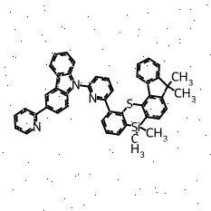 CC1(C)c2ccccc2-c2c1ccc1c2Sc2c(-c3cccc(-n4c5ccccc5c5cc(-c6ccccn6)ccc54)n3)cccc2[Si]1(C)C